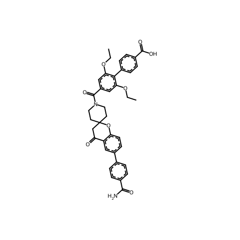 CCOc1cc(C(=O)N2CCC3(CC2)CC(=O)c2cc(-c4ccc(C(N)=O)cc4)ccc2O3)cc(OCC)c1-c1ccc(C(=O)O)cc1